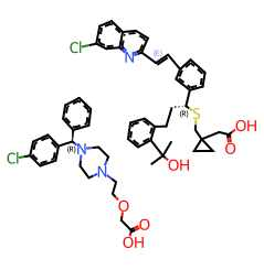 CC(C)(O)c1ccccc1CC[C@@H](SCC1(CC(=O)O)CC1)c1cccc(/C=C/c2ccc3ccc(Cl)cc3n2)c1.O=C(O)COCCN1CCN([C@H](c2ccccc2)c2ccc(Cl)cc2)CC1